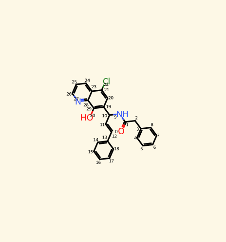 O=C(Cc1ccccc1)NC(C=Cc1ccccc1)c1cc(Cl)c2cccnc2c1O